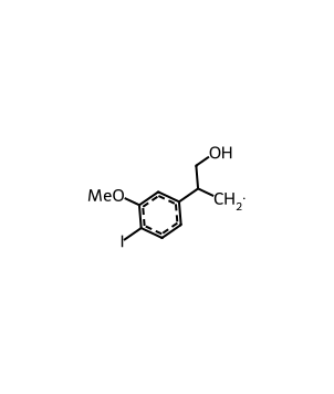 [CH2]C(CO)c1ccc(I)c(OC)c1